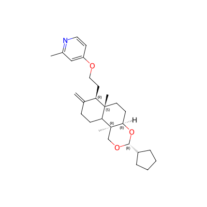 C=C1CCC2[C@]3(C)CO[C@@H](C4CCCC4)O[C@@H]3CC[C@@]2(C)[C@@H]1CCOc1ccnc(C)c1